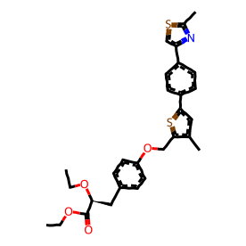 CCOC(=O)[C@H](Cc1ccc(OCc2sc(-c3ccc(-c4csc(C)n4)cc3)cc2C)cc1)OCC